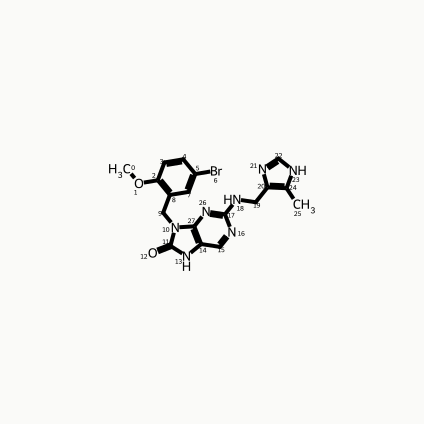 COc1ccc(Br)cc1Cn1c(=O)[nH]c2cnc(NCc3nc[nH]c3C)nc21